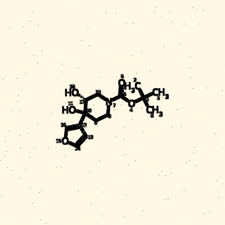 CC(C)(C)OC(=O)N1CCC(O)(c2ccoc2)[C@H](O)C1